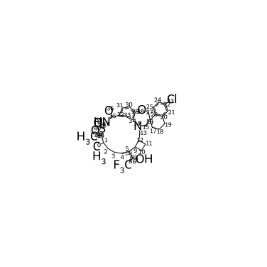 CC1CCC[C@H]([C@@H](O)C(F)(F)F)C2CCC2CN2C[C@@]3(CCCc4cc(Cl)ccc43)COc3ccc(cc32)C(=O)NS(=O)(=O)[C@@H]1C